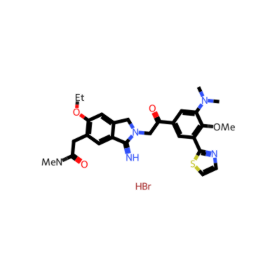 Br.CCOc1cc2c(cc1CC(=O)NC)C(=N)N(CC(=O)c1cc(-c3nccs3)c(OC)c(N(C)C)c1)C2